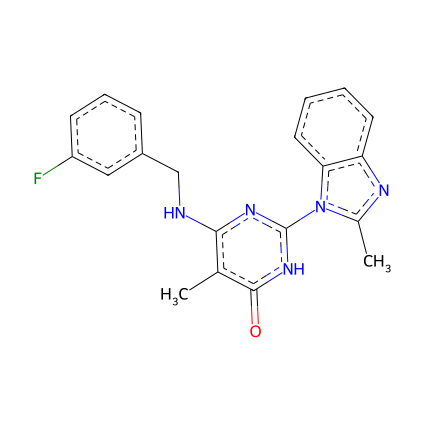 Cc1c(NCc2cccc(F)c2)nc(-n2c(C)nc3ccccc32)[nH]c1=O